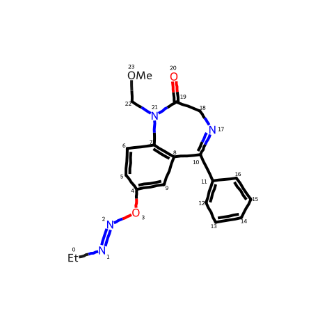 CCN=NOc1ccc2c(c1)C(c1ccccc1)=NCC(=O)N2COC